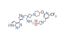 NCC1(Cn2cc(-c3ncnc4[nH]ccc34)cn2)CC(N2CCC(Oc3cc(CN4CC(O)C4)cc(C(F)(F)F)n3)CC2)C1